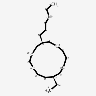 CCNCCC[C@H]1CCCCCC[C@@H](CC)CCCCCC1